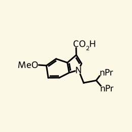 CCCC(CCC)Cn1cc(C(=O)O)c2cc(OC)ccc21